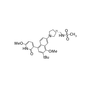 COc1ccc(-c2cc(C(C)(C)C)c(OC)c3cc(N4CC[C@H](CNS(C)(=O)=O)C4)ccc23)c(=O)[nH]1